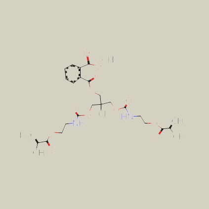 C=C(C)C(=O)OCCNC(=O)OCC(C)(COC(=O)NCCOC(=O)C(=C)C)COC(=O)c1ccccc1C(=O)OC